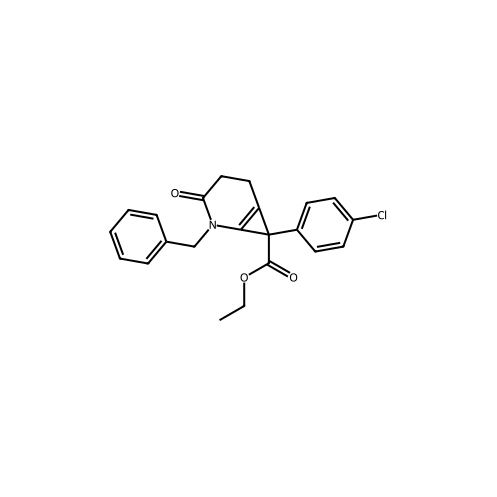 CCOC(=O)C1(c2ccc(Cl)cc2)C2=C1N(Cc1ccccc1)C(=O)CC2